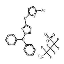 CC(=O)c1ccc(Sc2ccc([S+](c3ccccc3)c3ccccc3)s2)s1.O=S(=O)([O-])C(F)(F)C(F)(F)C(F)(F)C(F)(F)F